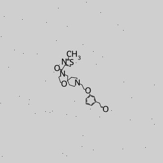 Cc1nc(C(=O)N2CCOC3(CCN(CCOc4cccc(CC=O)c4)CC3)C2)cs1